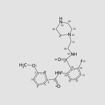 COc1cccc(C(=O)Nc2cccc(F)c2C(=O)NCCN2CCNCC2)c1